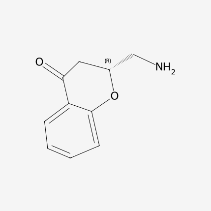 NC[C@H]1CC(=O)c2ccccc2O1